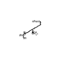 CCCCC/C=C\C/C=C\CCCCCCCCCC(CCCCCCCCC(=O)OCC(CCC(C)C)C(C)C)CCN(C)C